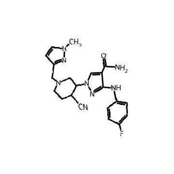 Cn1ccc(CN2CCC(C#N)C(n3cc(C(N)=O)c(Nc4ccc(F)cc4)n3)C2)n1